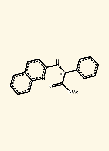 CNC(=O)[C@@H](Nc1ccc2ccccc2n1)c1ccccc1